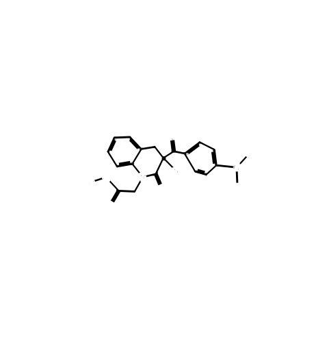 CN(C)c1ccc(C(=O)C2(N)Cc3ccccc3N(CC(=O)OC(C)(C)C)C2=O)cc1